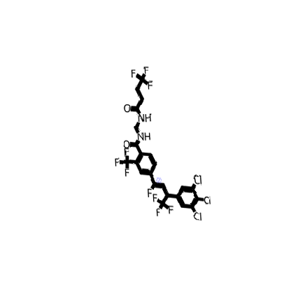 O=C(CCC(F)(F)F)NCNC(=O)c1ccc(/C(F)=C/C(c2cc(Cl)c(Cl)c(Cl)c2)C(F)(F)F)cc1C(F)(F)F